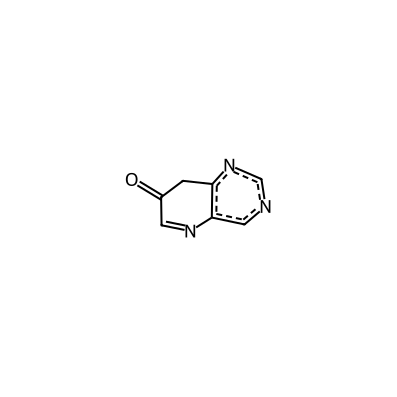 O=C1C=Nc2cncnc2C1